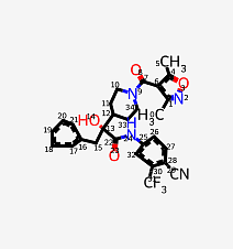 Cc1noc(C)c1C(=O)N1CCC(C(O)(Cc2ccccc2)C(=O)Nc2ccc(C#N)c(C(F)(F)F)c2)CC1